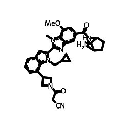 COc1cc(C(=O)N2CC3CCC2[C@@H]3N)cc2nc(-c3cc4cccc(C5CN(C(=O)CC#N)C5)c4n3CC3CC3)n(C)c12